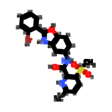 CS(=O)(=O)c1ccc(C#N)nc1C(=O)Nc1ccc2oc(-c3ccccc3Br)nc2c1